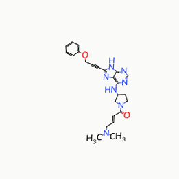 CN(C)CC=CC(=O)N1CCC(Nc2ncnc3[nH]c(C#CCOc4ccccc4)nc23)C1